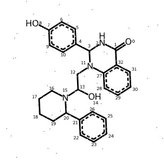 O=C1NC(c2ccc(O)cc2)N(CC(O)N2CCCCC2c2ccccc2)c2ccccc21